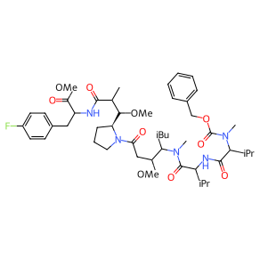 CCC(C)C(C(CC(=O)N1CCC[C@H]1C(OC)C(C)C(=O)NC(Cc1ccc(F)cc1)C(=O)OC)OC)N(C)C(=O)C(NC(=O)C(C(C)C)N(C)C(=O)OCc1ccccc1)C(C)C